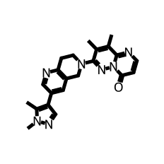 Cc1c(N2CCc3ncc(-c4cnn(C)c4C)cc3C2)nn2c(=O)ccnc2c1C